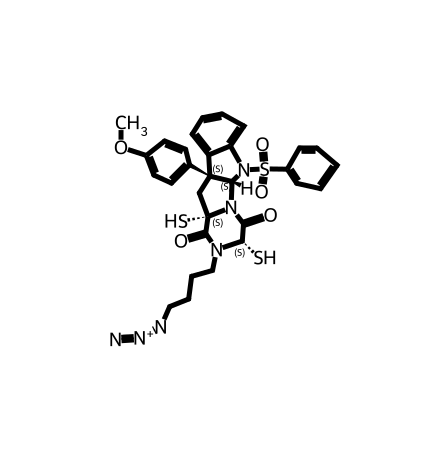 COc1ccc([C@]23C[C@]4(S)C(=O)N(CCCCN=[N+]=[N-])[C@@H](S)C(=O)N4[C@H]2N(S(=O)(=O)c2ccccc2)c2ccccc23)cc1